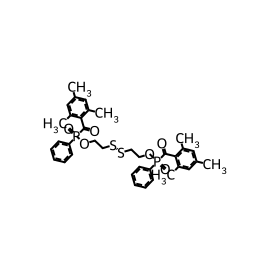 Cc1cc(C)c(C(=O)P(=O)(OCCSSCCOP(=O)(C(=O)c2c(C)cc(C)cc2C)c2ccccc2)c2ccccc2)c(C)c1